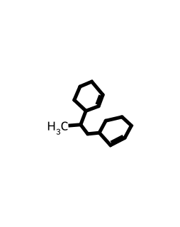 CC(CC1C=CCCC1)C1C=CCCC1